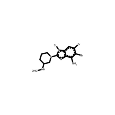 CCn1c(N2CCCC(NC=O)C2)nc2c(N)c(Br)c(Br)cc21